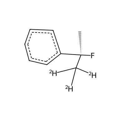 [2H]C([2H])([2H])[C@](C)(F)c1ccccc1